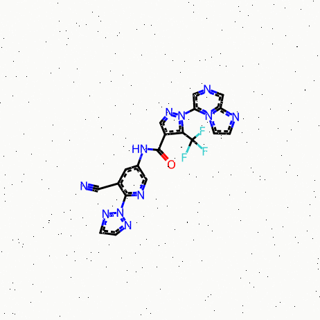 N#Cc1cc(NC(=O)c2cnn(-c3cncc4nccn34)c2C(F)(F)F)cnc1-n1nccn1